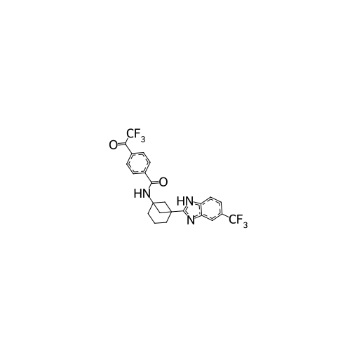 O=C(NC12CCCC(c3nc4cc(C(F)(F)F)ccc4[nH]3)(C1)C2)c1ccc(C(=O)C(F)(F)F)cc1